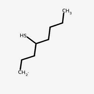 [CH2]CCC(S)CCCC